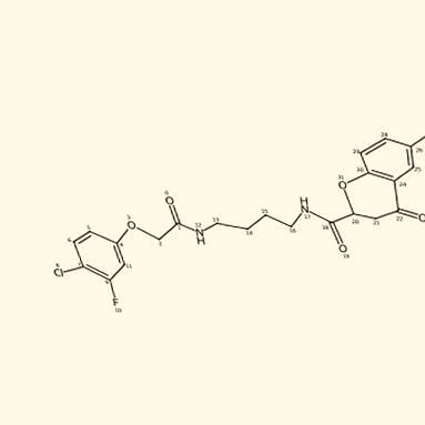 O=C(COc1ccc(Cl)c(F)c1)NCCCCNC(=O)C1CC(=O)c2cc(Cl)ccc2O1